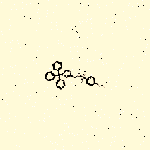 Cc1ccc(S(=O)(=O)OCc2cn(C(c3ccccc3)(c3ccccc3)c3ccccc3)cn2)cc1